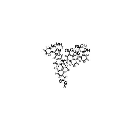 CCCCc1nc2c(N)nc3ccccc3c2n1CCCN(Cc1ccc(CC(=O)OC)cc1)C(=O)CN(C)C.O=C(O)c1ccc2ccccc2c1O.O=C(O)c1ccc2ccccc2c1O